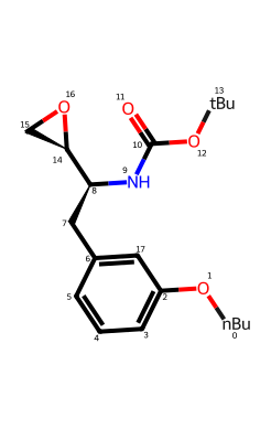 CCCCOc1cccc(C[C@H](NC(=O)OC(C)(C)C)[C@H]2CO2)c1